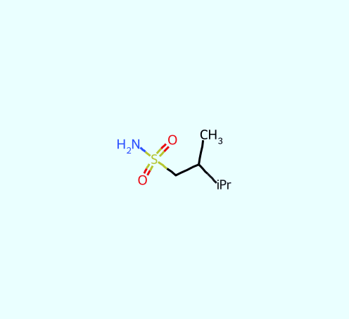 CC(C)C(C)CS(N)(=O)=O